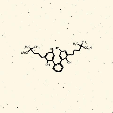 COC(C)(C)CCCC1=CC(O)C=C(c2ccccc2C2=CC(O)C=C(CCCC(C)(C)C(=O)O)C2O)C1O